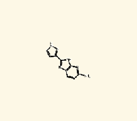 Nc1ccc2nc(-c3cc[nH]n3)[nH]c2n1